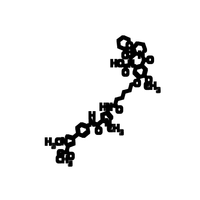 COC(=O)c1cc(-c2ccc(NC(=O)c3cc(NC(=O)CCCCCOc4cc5c(cc4OC)C(=O)N4CCCC[C@H]4C(OC4CCCCO4)N5C(=O)O)cn3C)cc2)cn1C